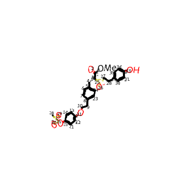 COC(=O)[C@@H](Cc1ccc(CCOc2ccc(OS(C)(=O)=O)cc2)cc1)[S+]([O-])CCc1ccc(O)cc1